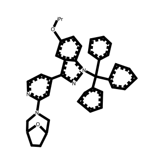 CC(C)Oc1ccc2c(c1)c(-c1ccnc(N3CC4CCC(C3)O4)c1)nn2C(c1ccccc1)(c1ccccc1)c1ccccc1